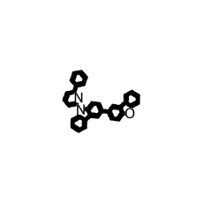 c1ccc(-c2cccc(-n3c4ccccc4c4cc(-c5ccc6oc7ccccc7c6c5)ccc43)n2)cc1